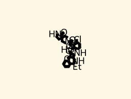 CC[C@@H](Nc1c(Nc2ccc(Cl)c(S(=O)(=O)N3CCC4(CCNC4=O)CC3)c2O)c(=O)c1=O)c1ccccc1